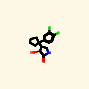 O=C1NCC(C2(c3ccc(Cl)c(Cl)c3)CCCC2)[C@@H]1O